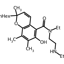 CCCCCCC1(C)C=Cc2c(c(C)c(C)c(O)c2C(=O)N(CC)CCNCC)O1